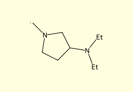 [CH2]N1CCC(N(CC)CC)C1